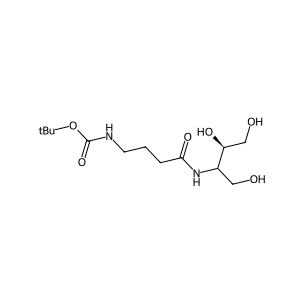 CC(C)(C)OC(=O)NCCCC(=O)NC(CO)[C@@H](O)CO